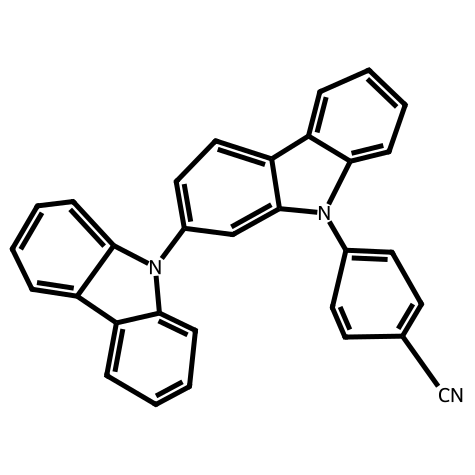 N#Cc1ccc(-n2c3ccccc3c3ccc(-n4c5ccccc5c5ccccc54)cc32)cc1